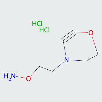 Cl.Cl.NOCCN1C#COCC1